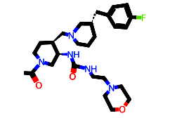 CC(=O)N1CC[C@@H](CN2CCC[C@@H](Cc3ccc(F)cc3)C2)[C@@H](NC(=O)NCCN2CCOCC2)C1